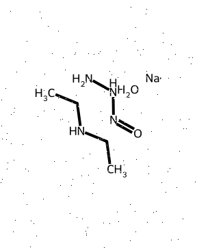 CCNCC.NNN=O.O.[Na]